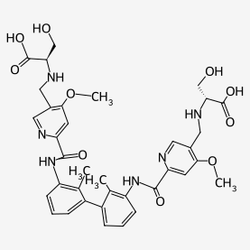 COc1cc(C(=O)Nc2cccc(-c3cccc(NC(=O)c4cc(OC)c(CN[C@H](CO)C(=O)O)cn4)c3C)c2C)ncc1CN[C@H](CO)C(=O)O